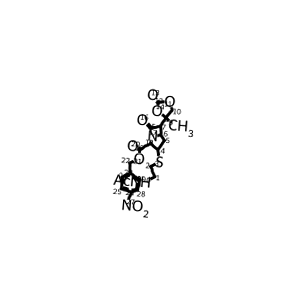 CC(=O)NCCSC1CC2C(C3(C)COC(=O)O3)C(=O)N2C1C(=O)OCc1ccc([N+](=O)[O-])cc1